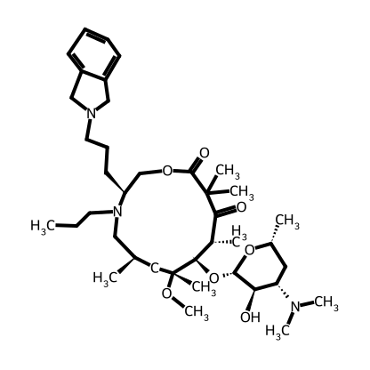 CCCN1C[C@H](C)C[C@@](C)(OC)[C@H](O[C@@H]2O[C@H](C)C[C@H](N(C)C)[C@H]2O)[C@@H](C)C(=O)C(C)(C)C(=O)OC[C@@H]1CCCN1Cc2ccccc2C1